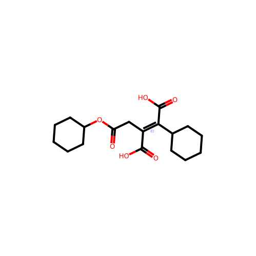 O=C(C/C(C(=O)O)=C(\C(=O)O)C1CCCCC1)OC1CCCCC1